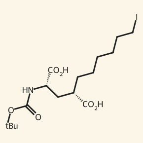 CC(C)(C)OC(=O)N[C@@H](C[C@H](CCCCCCI)C(=O)O)C(=O)O